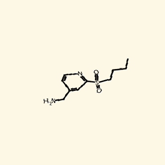 CCCCS(=O)(=O)c1cc(CN)ccn1